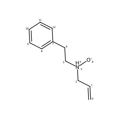 C=CC[NH+]([O-])CCc1ccccc1